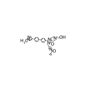 Cn1cc(-c2ccc(-c3ccc(C4=NC5(CCN(CCO)CC5)C(=O)N4CC4CN(C(=O)C5CC5)C4)cc3)cc2)cn1